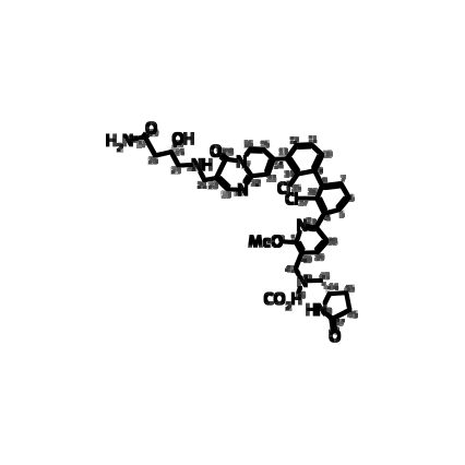 COc1nc(-c2cccc(-c3cccc(-c4ccn5c(=O)c(CNC[C@@H](O)CC(N)=O)cnc5c4)c3Cl)c2Cl)ccc1CN(C[C@@H]1CCC(=O)N1)C(=O)O